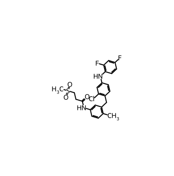 Cc1ccc(NC(=O)CCS(C)(=O)=O)cc1Cc1ccc(Nc2ccc(F)cc2F)cc1Cl